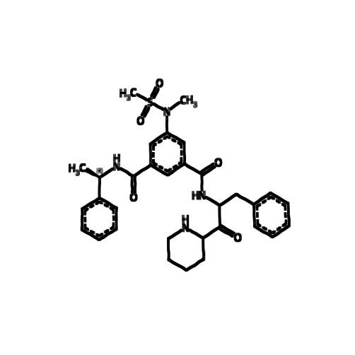 C[C@@H](NC(=O)c1cc(C(=O)NC(Cc2ccccc2)C(=O)C2CCCCN2)cc(N(C)S(C)(=O)=O)c1)c1ccccc1